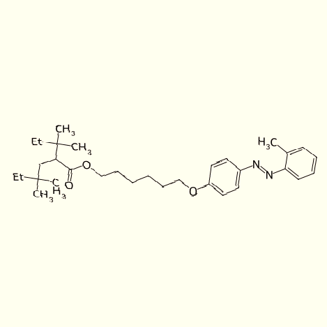 CCC(C)(C)CC(C(=O)OCCCCCCOc1ccc(/N=N/c2ccccc2C)cc1)C(C)(C)CC